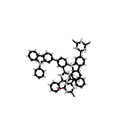 Cc1nc(C)nc(-c2ccc3c4ccc(-c5nc(C)nc(C)n5)cc4n(-c4ccc(-c5ccc6c7ccccc7n(-c7ccccc7)c6c5)cc4-c4nc(-c5ccccc5)nc(-c5ccccc5)n4)c3c2)n1